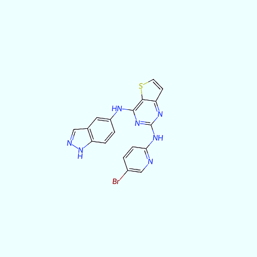 Brc1ccc(Nc2nc(Nc3ccc4[nH]ncc4c3)c3sccc3n2)nc1